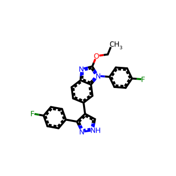 CCOc1nc2ccc(-c3c[nH]nc3-c3ccc(F)cc3)cc2n1-c1ccc(F)cc1